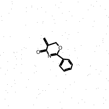 C=C1COC(c2ccccc2)=NC1=O